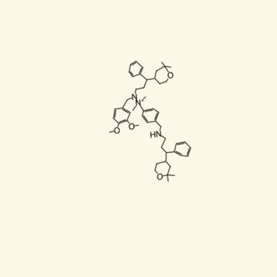 COc1ccc(CN(CCC(c2ccccc2)C2CCOC(C)(C)C2)[N+](C)(C)c2ccc(CNCCC(c3ccccc3)C3CCOC(C)(C)C3)cc2)cc1OC